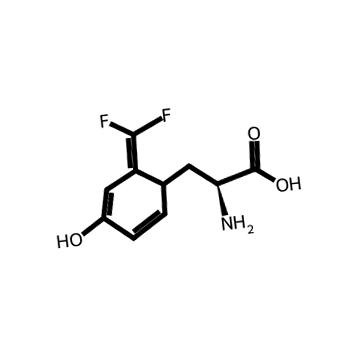 N[C@@H](CC1C=CC(O)=CC1=C(F)F)C(=O)O